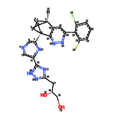 CC1(C)[C@H]2CC[C@]1(c1cncc(-c3nc(C[C@@H](O)CO)n[nH]3)n1)c1nnc(-c3c(F)cccc3F)cc12